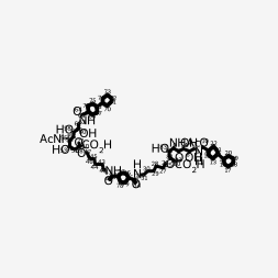 CC(=O)N[C@H]1[C@H]([C@H](O)[C@H](O)CNC(=O)c2ccc(-c3ccccc3)cc2)O[C@@](OCCCCCCNC(=O)c2ccc(C(=O)NCCCCCCO[C@]3(C(=O)O)C[C@H](O)[C@@H](NC(C)=O)[C@H]([C@H](O)[C@H](O)CNC(=O)c4ccc(-c5ccccc5)cc4)O3)cc2)(C(=O)O)C[C@@H]1O